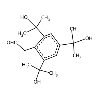 CC(C)(O)c1cc(C(C)(C)O)c(CC=O)c(C(C)(C)O)c1